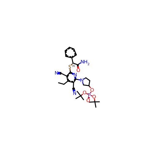 CCc1c(C#N)c(S[C@H](C(N)=O)c2ccccc2)nc(N2CCC(OP(=O)(OC(C)(C)C)OC(C)(C)C)C2)c1C#N